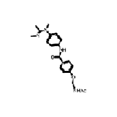 CN=C(C)N(C)c1ccc(NC(=O)c2ccc(OCNC(C)=O)cc2)cc1